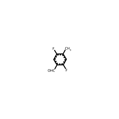 Cc1cc(F)c(C=O)cc1F